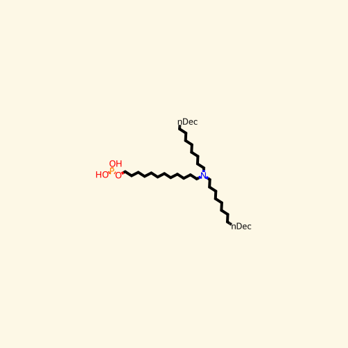 CCCCCCCCCCCCCCCCCCN(CCCCCCCCCCCCCCCCCC)CCCCCCCCCCCCOP(O)O